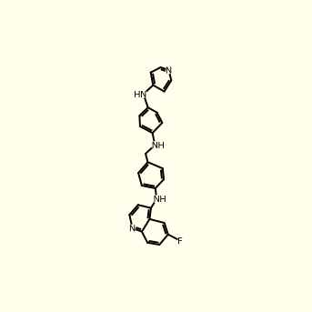 Fc1ccc2nccc(Nc3ccc(CNc4ccc(Nc5ccncc5)cc4)cc3)c2c1